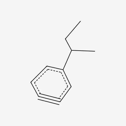 CCC(C)c1cc#ccc1